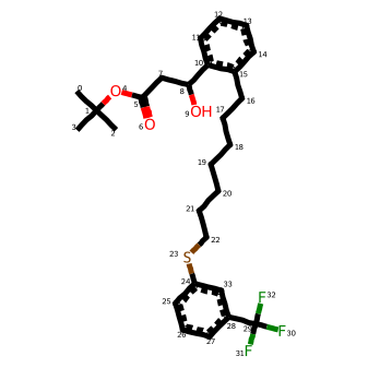 CC(C)(C)OC(=O)CC(O)c1ccccc1CCCCCCCSc1cccc(C(F)(F)F)c1